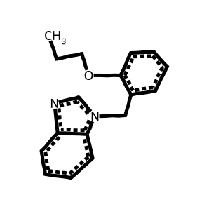 CCCOc1ccccc1Cn1cnc2ccccc21